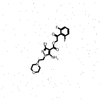 CCc1nn(CCN2CCOCC2)c(N)c1C(=O)OCC(=O)c1c(F)cccc1F